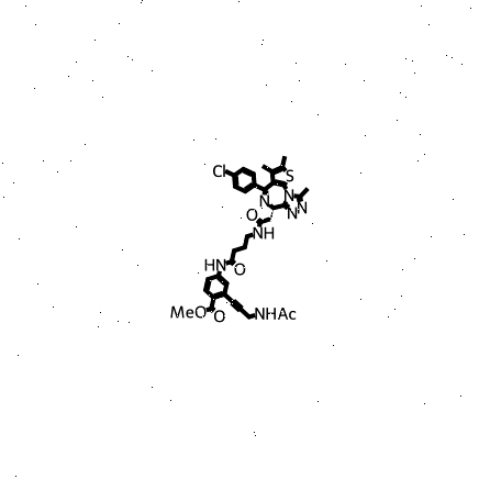 COC(=O)c1ccc(NC(=O)CCCNC(=O)C[C@@H]2N=C(c3ccc(Cl)cc3)c3c(sc(C)c3C)-n3c(C)nnc32)cc1C#CCNC(C)=O